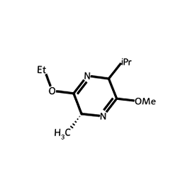 CCOC1=NC(C(C)C)C(OC)=N[C@@H]1C